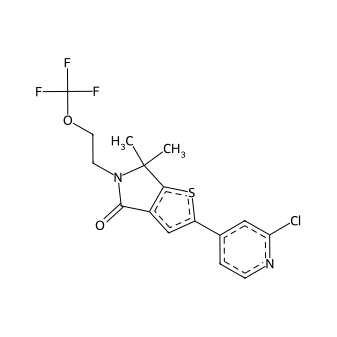 CC1(C)c2sc(-c3ccnc(Cl)c3)cc2C(=O)N1CCOC(F)(F)F